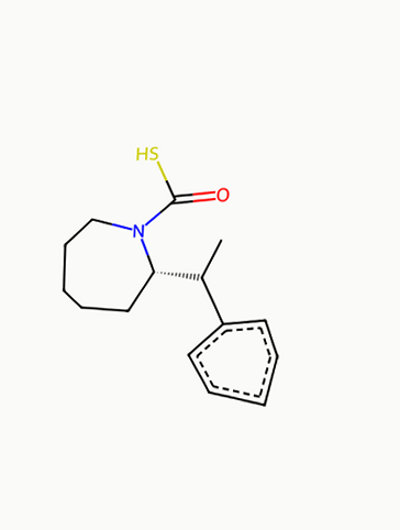 CC(c1ccccc1)[C@@H]1CCCCCN1C(=O)S